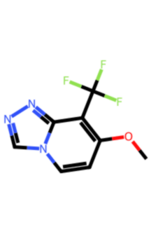 COc1ccn2cnnc2c1C(F)(F)F